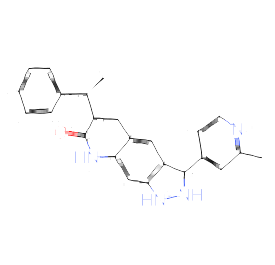 Cc1cc(C2NNc3cc4c(cc32)CC([C@H](C)c2ccccc2)C(=O)N4)ccn1